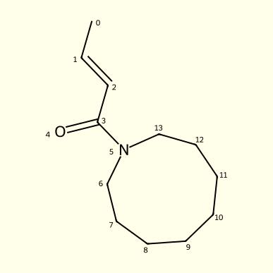 CC=CC(=O)N1CCCCCCCC1